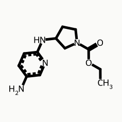 CCOC(=O)N1CCC(Nc2ccc(N)cn2)C1